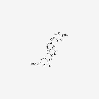 CCOC(=O)C1CCN(Cc2ccc3nc(OC4CCC(C(C)(C)C)CC4)cnc3c2)C(I)C1